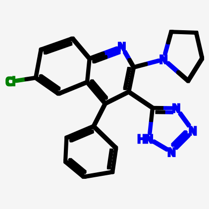 Clc1ccc2nc(N3CCCC3)c(-c3nnn[nH]3)c(-c3ccccc3)c2c1